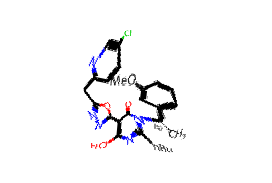 CCCCc1nc(O)c(-c2nnc(Cc3ccc(Cl)cn3)o2)c(=O)n1[C@@H](C)c1cccc(OC)c1